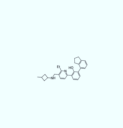 CCc1nc(-c2cccc(-c3cccc4c3CCC4)c2O)ccc1CNC1CC(C)C1